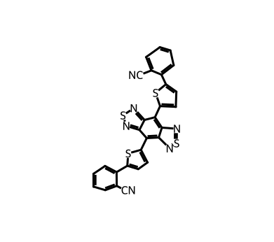 N#Cc1ccccc1-c1ccc(-c2c3c(c(-c4ccc(-c5ccccc5C#N)s4)c4nsnc24)N=S=N3)s1